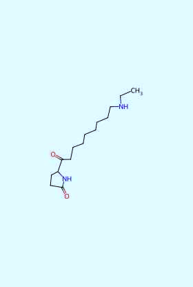 CCNCCCCCCCCC(=O)C1CCC(=O)N1